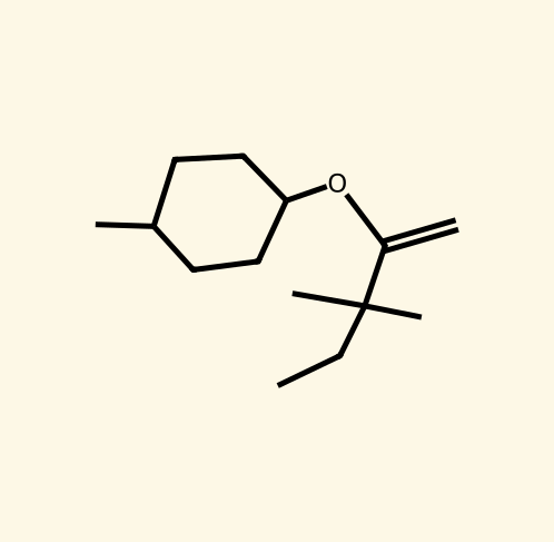 C=C(OC1CCC(C)CC1)C(C)(C)CC